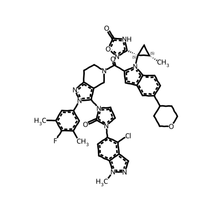 Cc1cc(-n2nc3c(c2-n2ccn(-c4ccc5c(cnn5C)c4Cl)c2=O)CN(C(=O)c2cc4cc(C5CCOCC5)ccc4n2[C@@]2(c4noc(=O)[nH]4)C[C@@H]2C)CC3)cc(C)c1F